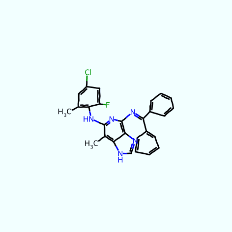 Cc1cc(Cl)cc(F)c1Nc1nc(N=C(c2ccccc2)c2ccccc2)c2nc[nH]c2c1C